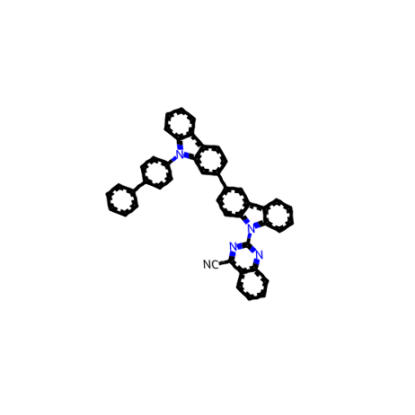 N#Cc1nc(-n2c3ccccc3c3cc(-c4ccc5c6ccccc6n(-c6ccc(-c7ccccc7)cc6)c5c4)ccc32)nc2ccccc12